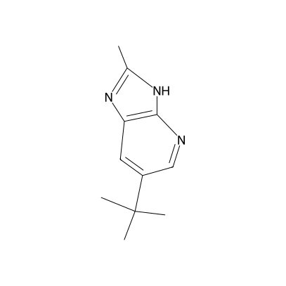 Cc1nc2cc(C(C)(C)C)cnc2[nH]1